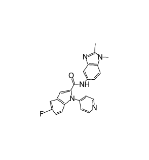 Cc1nc2cc(NC(=O)c3cc4cc(F)ccc4n3-c3ccncc3)ccc2n1C